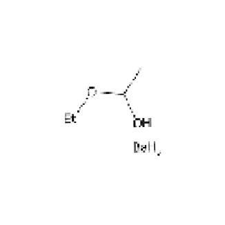 CCOC(C)O.[BaH2]